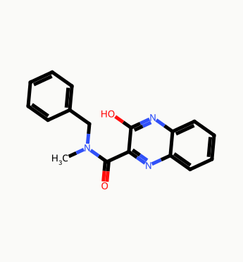 CN(Cc1ccccc1)C(=O)c1nc2ccccc2nc1O